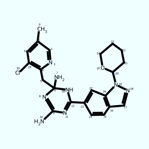 Cc1cnc(CC2(N)N=C(N)N=C(c3ccc4cnn(C5CCCCO5)c4c3)N2)c(Cl)c1